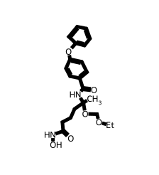 CCOCOC(C)(CCCC(=O)NO)NC(=O)c1ccc(Oc2ccccc2)cc1